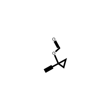 C#CC1(OC=O)CC1